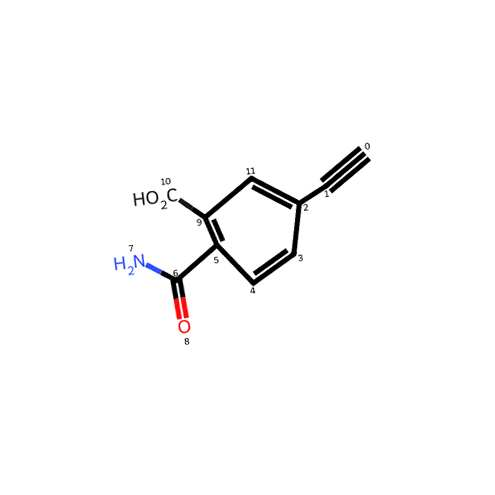 C#Cc1ccc(C(N)=O)c(C(=O)O)c1